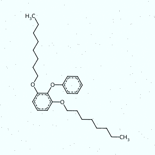 CCCCCCCCOc1cccc(OCCCCCCCC)c1Oc1ccccc1